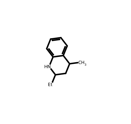 CCC1CC(C)c2ccccc2N1